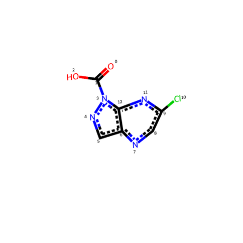 O=C(O)n1ncc2ncc(Cl)nc21